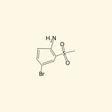 CS(=O)(=O)c1cc(Br)ccc1N